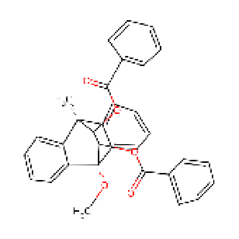 CO[C@]12c3ccccc3[C@](C)(c3ccccc31)C(OC(=O)c1ccccc1)C2OC(=O)c1ccccc1